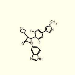 Cn1cc(-c2cc(F)c(C3C(C4COC4)C(=O)N3c3ccc4[nH]cnc4c3)c(F)c2)cn1